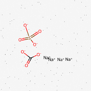 O=C([O-])[O-].O=S(=O)([O-])[O-].[Na+].[Na+].[Na+].[Na+]